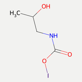 CC(O)CNC(=O)OI